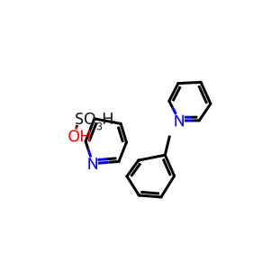 Cc1ccccc1.O=S(=O)(O)O.c1ccncc1.c1ccncc1